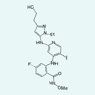 CCn1nc(CCO)cc1Nc1cc(Nc2cc(F)ccc2C(=O)NOC)c(I)cn1